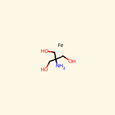 NC(CO)(CO)CO.[Fe]